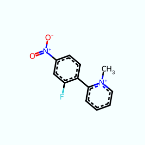 C[n+]1ccccc1-c1ccc([N+](=O)[O-])cc1F